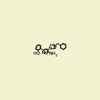 Nc1nnc(-c2ccccc2O)cc1N1CC2CC1CN2Cc1ccccc1